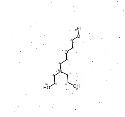 CCOCCOCCN(CCO)CCO